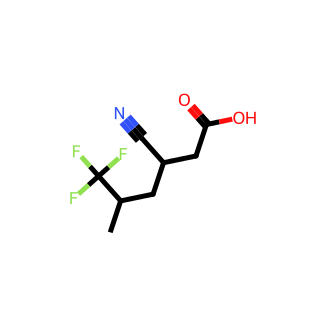 CC(CC(C#N)CC(=O)O)C(F)(F)F